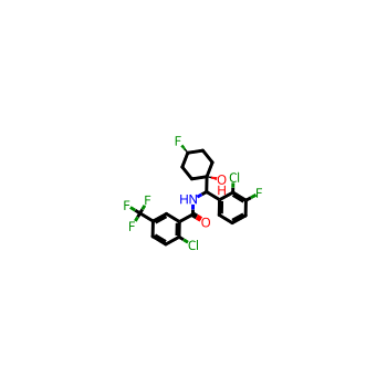 O=C(NC(c1cccc(F)c1Cl)[C@]1(O)CC[C@@H](F)CC1)c1cc(C(F)(F)F)ccc1Cl